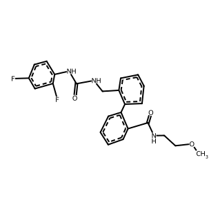 COCCNC(=O)c1ccccc1-c1ccccc1CNC(=O)Nc1ccc(F)cc1F